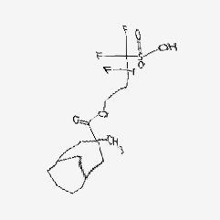 CC1(C(=O)OCCC(F)(F)C(F)(F)S(=O)(=O)O)CC2CCCC(C2)C1